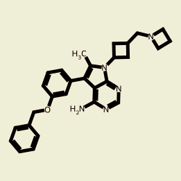 Cc1c(-c2cccc(OCc3ccccc3)c2)c2c(N)ncnc2n1C1CC(CN2CCC2)C1